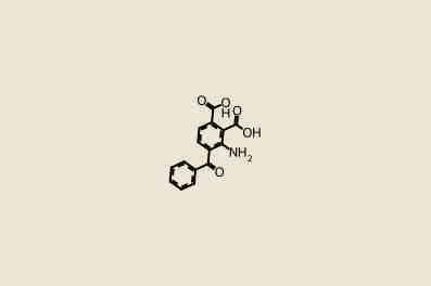 Nc1c(C(=O)c2ccccc2)ccc(C(=O)O)c1C(=O)O